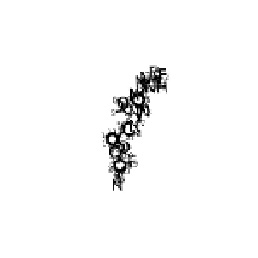 CO[C@H](C)Cn1c(CN2CCC(c3cccc4c3O[C@@](C)(c3ccc(C#N)cc3F)O4)CC2)nc2cc(-c3nnc(C(F)(F)F)[nH]3)ncc21